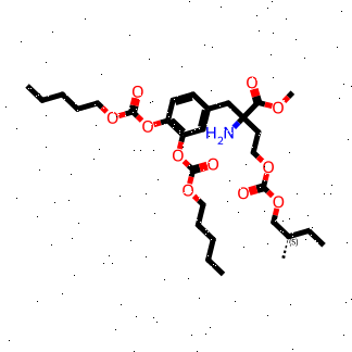 CCCCCOC(=O)Oc1ccc(CC(N)(CCOC(=O)OC[C@@H](C)CC)C(=O)OC)cc1OC(=O)OCCCCC